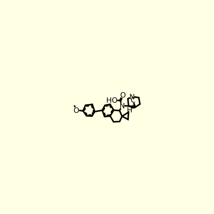 COc1ccc(-c2ccc3c(c2)CCC2(CC2)C3N(C(=O)O)[C@@H]2CN3CCC2CC3)cc1